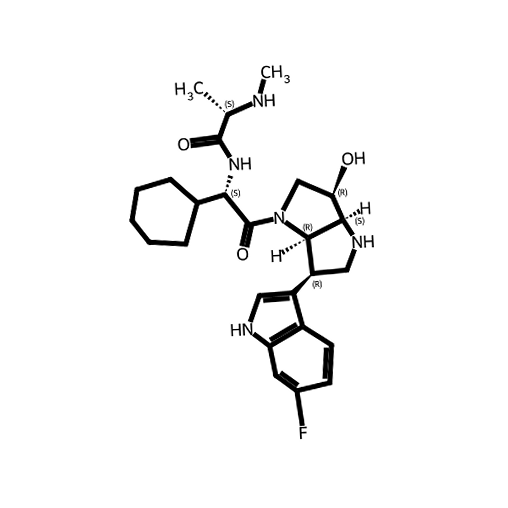 CN[C@@H](C)C(=O)N[C@H](C(=O)N1C[C@@H](O)[C@H]2NC[C@@H](c3c[nH]c4cc(F)ccc34)[C@H]21)C1CCCCC1